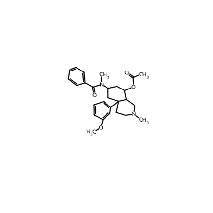 COc1cccc(C23CCN(C)CC2C(OC(C)=O)CC(N(C)C(=O)c2ccccc2)C3)c1